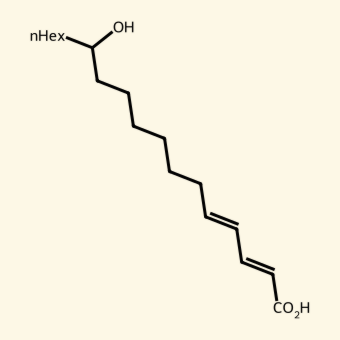 CCCCCCC(O)CCCCCCC=CC=CC(=O)O